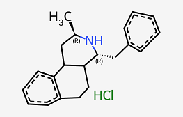 C[C@@H]1CC2c3ccccc3CCC2[C@@H](Cc2ccccc2)N1.Cl